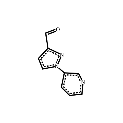 O=Cc1ccn(-c2cccnc2)n1